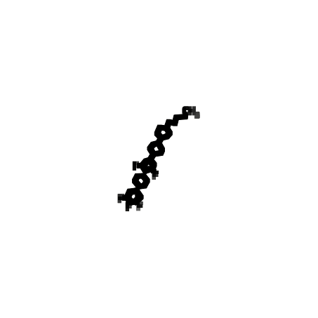 CCCCCC1CCC(C2CCC(c3cc(F)c([C@H]4CC[C@H](c5cc(F)c(F)c(F)c5)CC4)c(F)c3)CC2)CC1